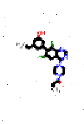 C=CC(=O)N1CCN(c2ncnc3c(F)c(-c4cc(O)cc(C=C)c4)c(Cl)cc23)CC1